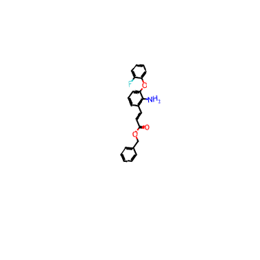 Nc1c(C=CC(=O)OCc2ccccc2)cccc1Oc1ccccc1F